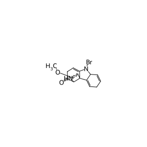 COC1=CC=CC23C4=CCC=CC4N(Br)C2=CCC(=O)C3N1